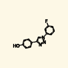 Oc1ccc(-c2cn(-c3cccc(F)c3)nn2)cc1